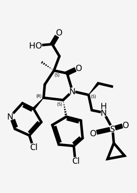 CC[C@@H](CNS(=O)(=O)C1CC1)N1C(=O)[C@](C)(CC(=O)O)C[C@H](c2cncc(Cl)c2)[C@H]1c1ccc(Cl)cc1